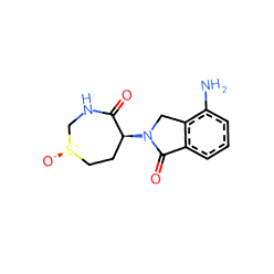 Nc1cccc2c1CN([C@H]1CC[S@@+]([O-])CNC1=O)C2=O